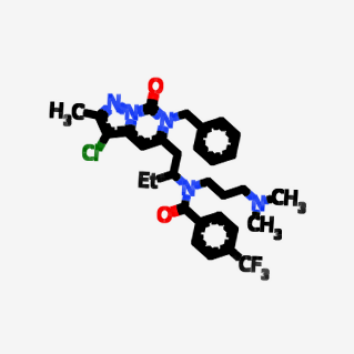 CCC(Cc1cc2c(Cl)c(C)nn2c(=O)n1Cc1ccccc1)N(CCCN(C)C)C(=O)c1ccc(C(F)(F)F)cc1